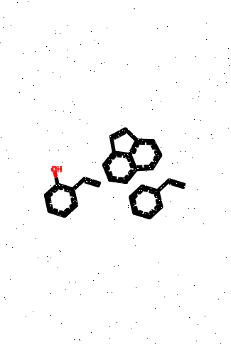 C1=Cc2cccc3cccc1c23.C=Cc1ccccc1.C=Cc1ccccc1O